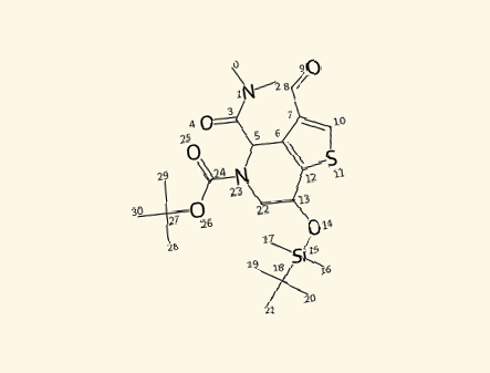 CN(C)C(=O)C1c2c(C=O)csc2C(O[Si](C)(C)C(C)(C)C)CN1C(=O)OC(C)(C)C